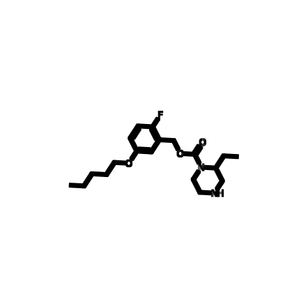 CCCCCOc1ccc(F)c(COC(=O)N2CCNCC2CC)c1